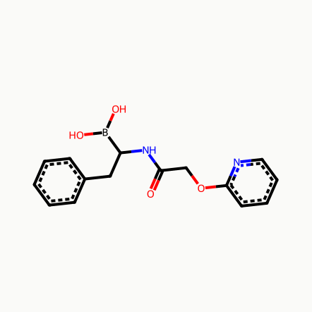 O=C(COc1ccccn1)NC(Cc1ccccc1)B(O)O